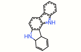 C1=CC2Nc3ccc4c([nH]c5ccccc54)c3C2C=C1